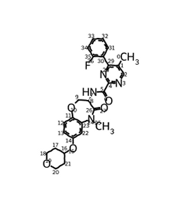 Cc1cnc(C(=O)N[C@H]2COc3ccc(OC4CCOCC4)cc3N(C)C2=O)nc1-c1ccccc1F